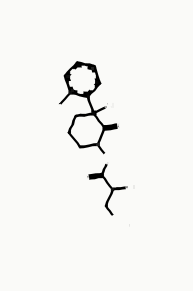 CCC(O)C(=O)OC1CCCC(N)(c2ccccc2Cl)C1=O